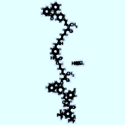 CN(CCN1CCC(N(C(=O)O)c2ccccc2-c2ccccc2)CC1)C(=O)CCCCCNCc1ccc(NC(=O)OCCCCN(C)C(=O)CO[C@H]2Cc3ccccc3C23CCN(CC[C@@]2(c4ccc(F)cc4)CN(C(=O)c4cc(C(F)(F)F)cc(C(F)(F)F)c4)CO2)CC3)cc1.Cl.Cl.Cl